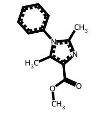 COC(=O)c1nc(C)n(-c2ccccc2)c1C